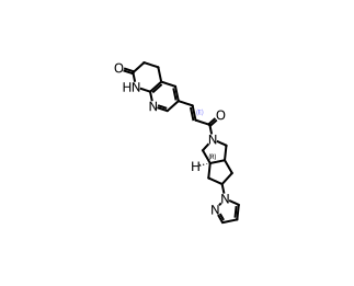 O=C1CCc2cc(/C=C/C(=O)N3CC4CC(n5cccn5)C[C@H]4C3)cnc2N1